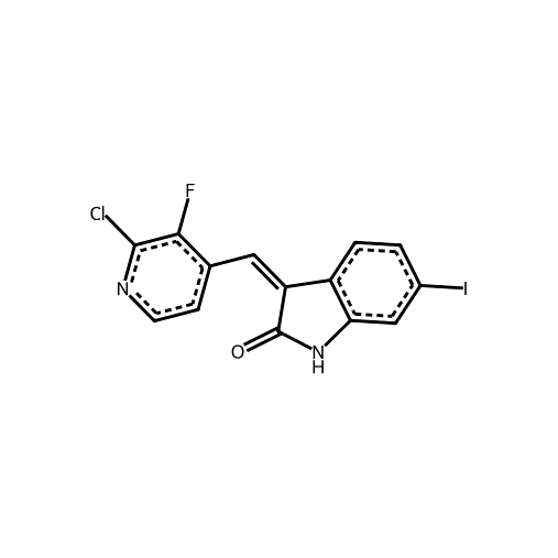 O=C1Nc2cc(I)ccc2C1=Cc1ccnc(Cl)c1F